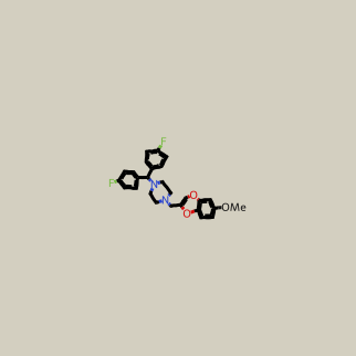 COc1ccc2c(c1)OC=C(CN1CCN(C(c3ccc(F)cc3)c3ccc(F)cc3)CC1)O2